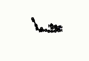 CC/N=c1/cc2oc3cc(NCC)c(C)cc3c(-c3cc(CNCCOCCOCCNC(=O)OCCC(C)(C)SSCOCCCCOC=O)ccc3C(=O)O)c-2cc1C